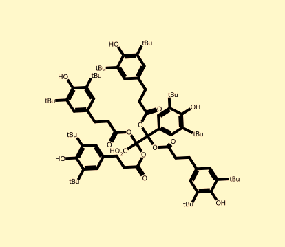 CC(C)(C)c1cc(CCC(=O)OC(OC(=O)CCc2cc(C(C)(C)C)c(O)c(C(C)(C)C)c2)(C(=O)O)C(OC(=O)CCc2cc(C(C)(C)C)c(O)c(C(C)(C)C)c2)(OC(=O)CCc2cc(C(C)(C)C)c(O)c(C(C)(C)C)c2)c2cc(C(C)(C)C)c(O)c(C(C)(C)C)c2)cc(C(C)(C)C)c1O